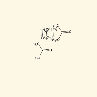 C=C.C=C.C=C.CC(=O)O.CC(=O)O